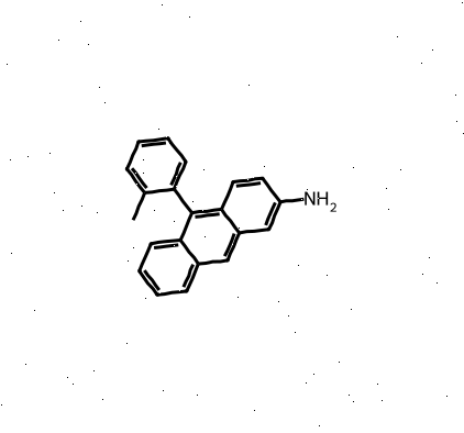 Cc1ccccc1-c1c2ccccc2cc2cc(N)ccc12